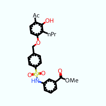 CCCc1c(OCc2ccc(S(=O)(=O)Nc3cccc(C(=O)OC)c3)cc2)ccc(C(C)=O)c1O